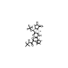 CC(C)(C)NC(=O)C(=O)N1CC2CC1(C(=O)N[C@@H](C[C@@H]1CCNC1=O)C(=O)COC(F)(F)F)C2